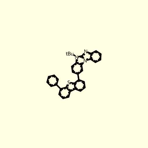 CC(C)(C)n1c2ccc(-c3cccc4c3sc3c(-c5ccccc5)cccc34)cc2n2c3ccccc3nc12